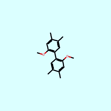 COc1cc(C)c(C)cc1-c1cc(C)c(C)cc1OC